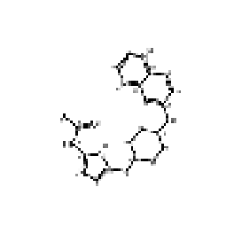 CC(=O)Nc1ncc(CN2CCC(Cc3ccc4nccnc4c3)CC2)s1